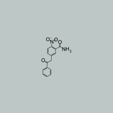 NC(=O)c1cc(CC(=O)c2ccccc2)ccc1[N+](=O)[O-]